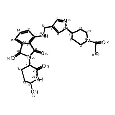 CC(C)C(=O)N1CCC(n2cc(CNc3cccc4c3C(=O)N(C3CCC(O)NC3=O)C4=O)cn2)CC1